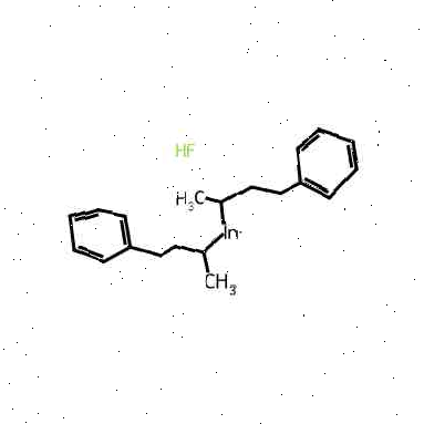 C[CH](CCc1ccccc1)[In][CH](C)CCc1ccccc1.F